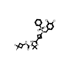 CC1(C)N=C(C23CC(N(Cc4ccc(Cl)c(Cl)c4)S(=O)(=O)c4ccccc4)(C2)C3)N[C@H]1C(=O)NC1CC(F)(F)C1